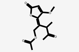 COC1=CC(=O)O/C1=C(\COC(C)=O)C(C)C(C)=O